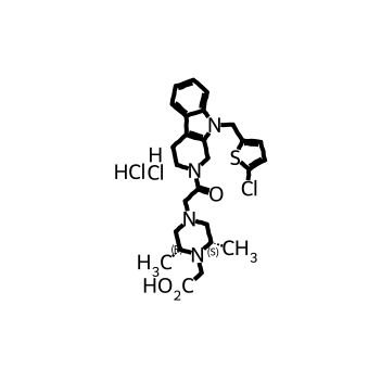 C[C@@H]1CN(CC(=O)N2CCc3c(n(Cc4ccc(Cl)s4)c4ccccc34)C2)C[C@H](C)N1CC(=O)O.Cl.Cl